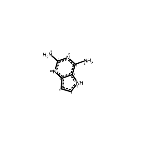 Nc1nc(N)c2[nH]ccc2n1